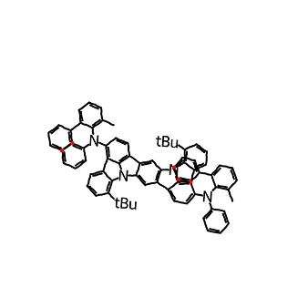 Cc1cccc(-c2ccccc2)c1N(c1ccccc1)c1ccc2c3cc4c(cc3n3c5c(C(C)(C)C)cccc5c1c23)c1ccc(N(c2ccccc2)c2c(C)cccc2-c2ccccc2)c2c3cccc(C(C)(C)C)c3n4c12